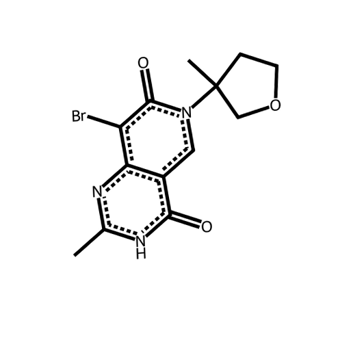 Cc1nc2c(Br)c(=O)n(C3(C)CCOC3)cc2c(=O)[nH]1